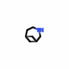 C1CC2CC(CN1)C2